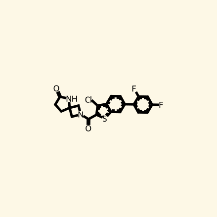 O=C1CCC2(CN(C(=O)c3sc4cc(-c5ccc(F)cc5F)ccc4c3Cl)C2)N1